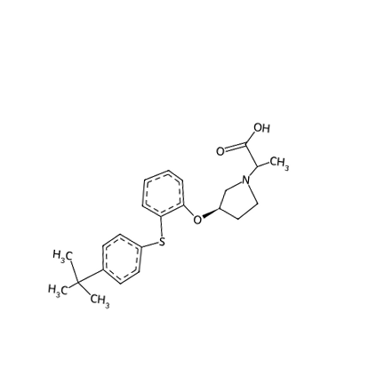 CC(C(=O)O)N1CC[C@@H](Oc2ccccc2Sc2ccc(C(C)(C)C)cc2)C1